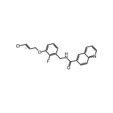 O=C(NCc1cccc(OC/C=C/Cl)c1F)c1ccc2ncccc2c1